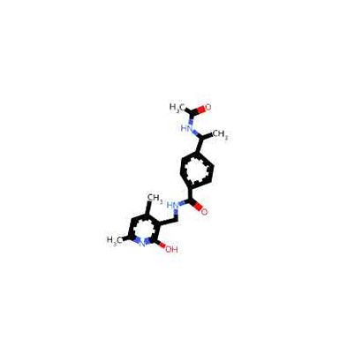 CC(=O)NC(C)c1ccc(C(=O)NCc2c(C)cc(C)nc2O)cc1